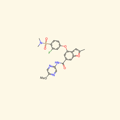 COc1cnc(NC(=O)c2cc(Oc3ccc(S(=O)(=O)N(C)C)c(F)c3)c3cc(C)oc3c2)cn1